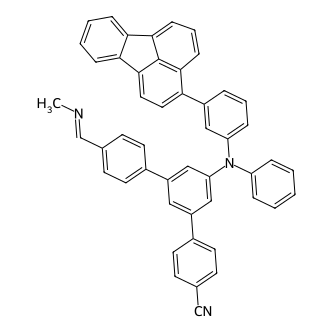 CN=Cc1ccc(-c2cc(-c3ccc(C#N)cc3)cc(N(c3ccccc3)c3cccc(-c4ccc5c6c(cccc46)-c4ccccc4-5)c3)c2)cc1